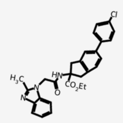 CCOC(=O)C1(NC(=O)Cn2c(C)nc3ccccc32)Cc2ccc(-c3ccc(Cl)cc3)cc2C1